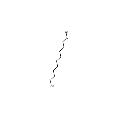 CC(=O)SCCCCCCCCSC(C)=O